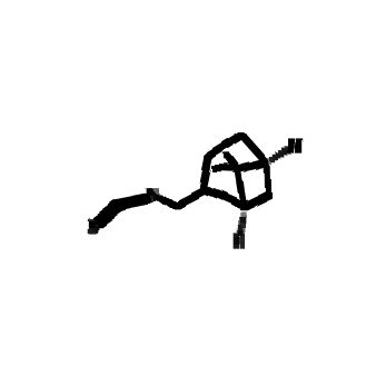 CC1(C)[C@H]2CCC(CN=C=S)[C@@H]1C2